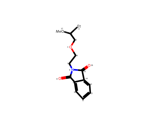 CCC(COCCN1C(=O)c2ccccc2C1=O)OC